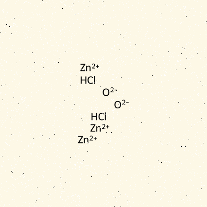 Cl.Cl.[O-2].[O-2].[Zn+2].[Zn+2].[Zn+2]